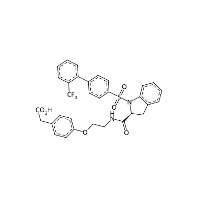 O=C(O)Cc1ccc(OCCNC(=O)[C@@H]2Cc3ccccc3N2S(=O)(=O)c2ccc(-c3ccccc3C(F)(F)F)cc2)cc1